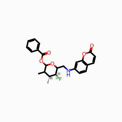 CC1C(OC(=O)c2ccccc2)OC(CNc2ccc3ccc(=O)oc3c2)[C@@H]([18F])[C@@H]1C